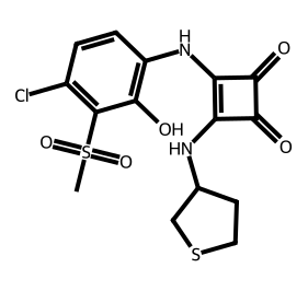 CS(=O)(=O)c1c(Cl)ccc(Nc2c(NC3CCSC3)c(=O)c2=O)c1O